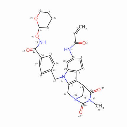 C=CC(=O)Nc1ccc2c3c(n(Cc4ccc(C(=O)NOC5CCCCO5)cc4)c2c1)CN1CC3C(=O)N(C)C1=O